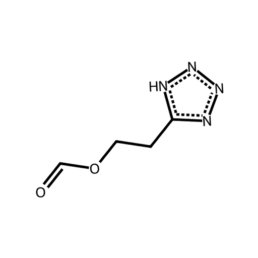 O=COCCc1nnn[nH]1